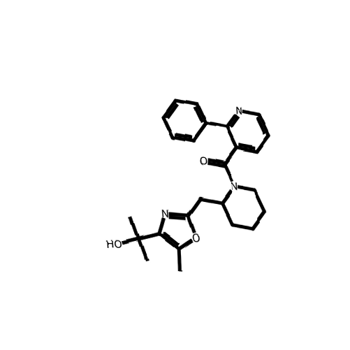 Cc1oc(CC2CCCCN2C(=O)c2cccnc2-c2ccccc2)nc1C(C)(C)O